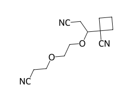 N#CCCOCCOC(CC#N)C1(C#N)CCC1